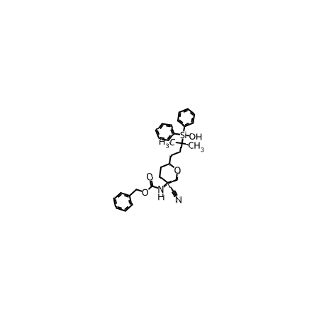 CC(C)(CCC1CC[C@@](C#N)(NC(=O)OCc2ccccc2)CO1)[Si](O)(c1ccccc1)c1ccccc1